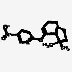 CC1(C)COc2cccc(Oc3ccc([N+](=O)[O-])cn3)c21